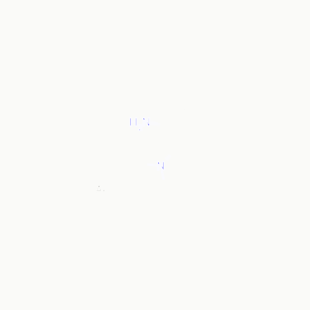 CC(=O)C1CCN([C@H]2CCCC[C@H]2N)C1